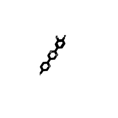 Fc1ccc(C2OCC(C3CCC(I)CO3)CO2)cc1F